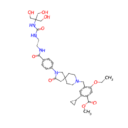 CCOc1cc(C(=O)OC)c(C2CC2)cc1CN1CCC2(CC1)CC(=O)N(c1ccc(C(=O)NCCNC(=O)NC(CO)(CO)CO)cc1)C2